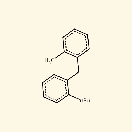 CCCCc1ccccc1Cc1ccccc1C